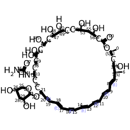 C[C@H]1C[C@H](O)[C@@H](C)/C=C/C=C/C=C/C=C/C=C/C=C/C=C/[C@H](O[C@@H]2OC[C@@H](O)C[C@@H]2O)CC[C@H](NC(N)=O)CCC(O)(O)C[C@@H](O)C[C@@H](O)[C@H](O)CC[C@@H](O)C[C@@H](O)CC(=O)O1